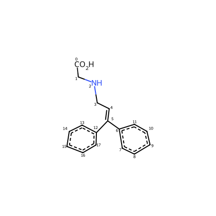 O=C(O)CNCC=C(c1ccccc1)c1ccccc1